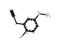 C#CCc1cc(OC(F)(F)F)ccc1F